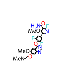 CNCCOc1cc2ncnc(Oc3c(F)cc(-c4cnc(F)c(C(N)=O)c4OC)cc3F)c2cc1OC